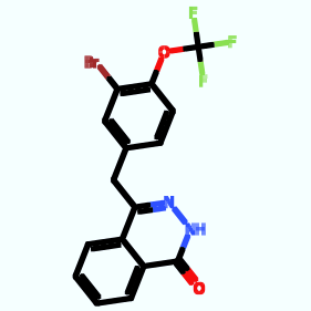 O=c1[nH]nc(Cc2ccc(OC(F)(F)F)c(Br)c2)c2ccccc12